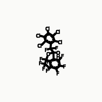 OC(OC(F)(F)C(F)(F)F)(c1c(F)c(F)c(F)c(F)c1F)C(F)(F)c1c(Cl)c(Cl)c(Cl)c(Cl)c1Cl